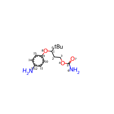 CC(C)(C)C(CCOC(N)=O)Oc1ccc(N)cc1